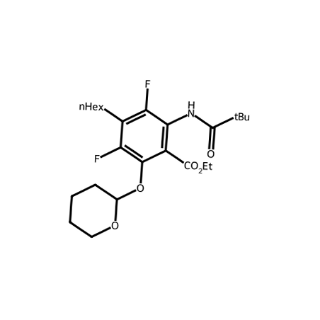 CCCCCCc1c(F)c(NC(=O)C(C)(C)C)c(C(=O)OCC)c(OC2CCCCO2)c1F